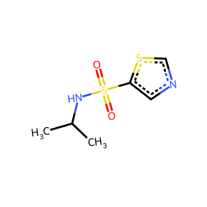 CC(C)NS(=O)(=O)c1cncs1